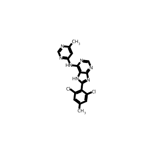 Cc1cc(Cl)c(-c2nc3ncnc(Nc4cc(C)ncn4)c3[nH]2)c(Cl)c1